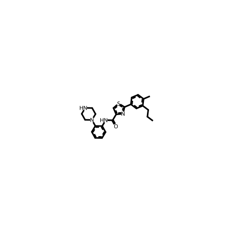 CCCc1cc(-c2nc(C(=O)Nc3ccccc3N3CCNCC3)cs2)ccc1C